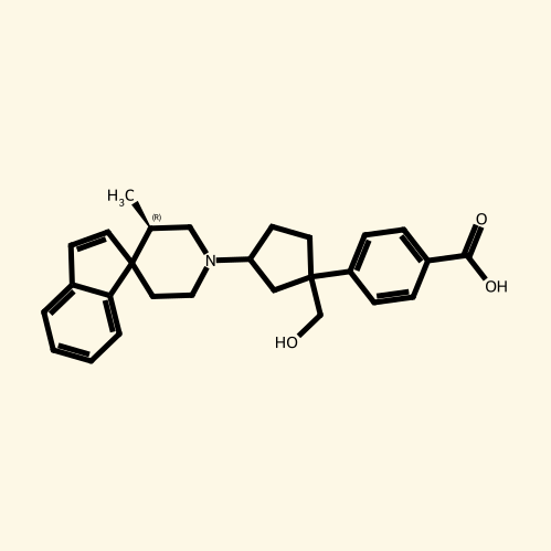 C[C@H]1CN(C2CCC(CO)(c3ccc(C(=O)O)cc3)C2)CCC12C=Cc1ccccc12